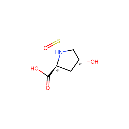 O=C(O)[C@@H]1C[C@@H](O)CN1.O=S